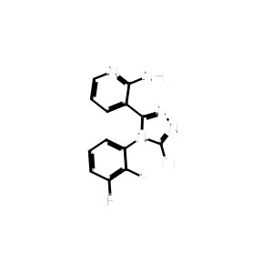 Nc1ncccc1-c1nnc(O)n1-c1cccc(F)c1F